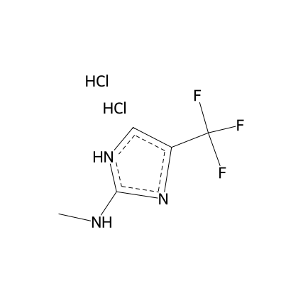 CNc1nc(C(F)(F)F)c[nH]1.Cl.Cl